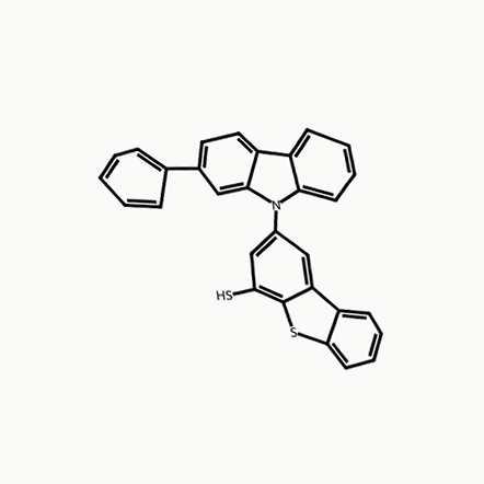 Sc1cc(-n2c3ccccc3c3ccc(-c4ccccc4)cc32)cc2c1sc1ccccc12